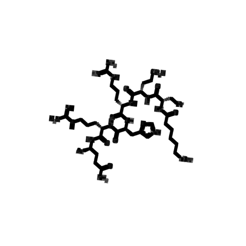 CCCCCCCCCCCCCCCC(=O)N[C@@H](CC(C)C)C(=O)N[C@@H](CCC(=O)O)C(=O)N[C@@H](CCCNC(=N)N)C(=O)N[C@@H](Cc1c[nH]cn1)C(=O)N[C@@H](CCCNC(=N)N)C(=O)N[C@@H](CCC(N)=O)C(C)=O